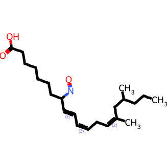 CCCC(C)C/C(C)=C\C/C=C\C=C\C(CCCCCCC(=O)O)N=O